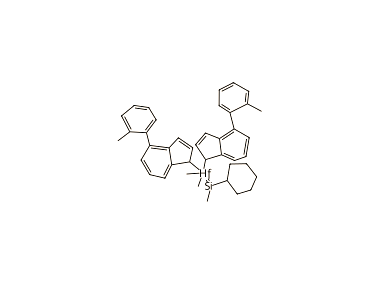 Cc1ccccc1-c1cccc2c1C=C[CH]2[Hf]([CH3])([CH3])([CH]1C=Cc2c(-c3ccccc3C)cccc21)=[Si](C)C1CCCCC1